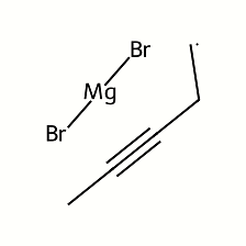 [Br][Mg][Br].[CH2]CC#CC